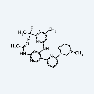 CC(=O)Nc1cc(Nc2cc(C)nc(C(C)(F)F)n2)c(-c2cccc([C@@H]3CN(C)CCO3)n2)cn1